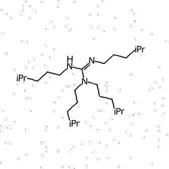 CC(C)CCCN=C(NCCCC(C)C)N(CCCC(C)C)CCCC(C)C